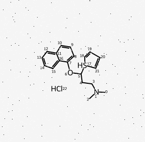 CN(C)CCC(Oc1cccc2ccccc12)[SH]1C=CC=C1.Cl